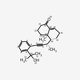 C[C@H](C#Cc1ccccc1C(C)(C)O)[C@H]1CCC=C2C(=O)CCC[C@@]21C